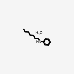 CCCCCCCNc1ccccc1.O